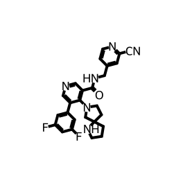 N#Cc1cc(CNC(=O)c2cncc(-c3cc(F)cc(F)c3)c2N2CCC3(CCCN3)C2)ccn1